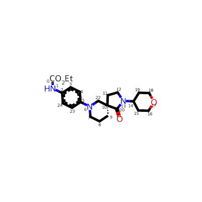 CCOC(=O)Nc1ccc(N2CCC[C@@]3(CCN(C4CCOCC4)C3=O)C2)cc1